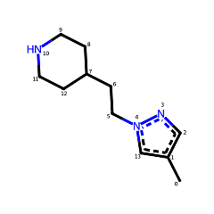 Cc1cnn(CCC2CCNCC2)c1